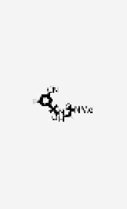 CNC(=O)[C@H](C)CNC(=O)C(C)(C)c1cc(F)cc(C#N)c1